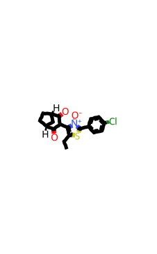 CCc1sc(-c2ccc(Cl)cc2)[n+]([O-])c1C1C(=O)[C@@H]2CC[C@@H](C2)C1=O